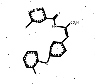 O=C(O)/C(=C/c1ccc(Oc2ccccc2I)cc1)NC(=O)c1cccc(F)c1